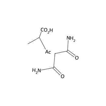 CC(=O)C(C)C(=O)O.NC(=O)CC(N)=O